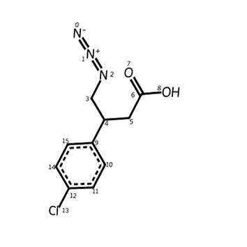 [N-]=[N+]=NCC(CC(=O)O)c1ccc(Cl)cc1